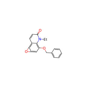 CCn1c(=O)ccc2c3c(cc(OCc4ccccc4)c21)O3